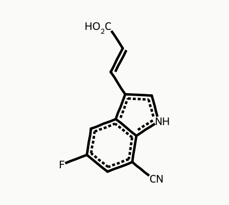 N#Cc1cc(F)cc2c(C=CC(=O)O)c[nH]c12